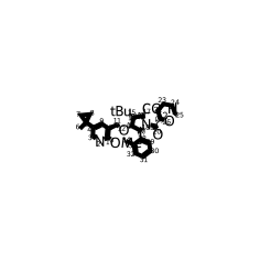 COc1ncc(C2(C)CC2)cc1CO[C@H]1[C@H](C(C)(C)C)[C@@H](C(=O)O)N(C(=O)[C@@H]2CCCCO2)[C@H]1c1ccccc1C